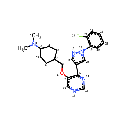 CN(C)C1CCC(COc2cncnc2-c2cnn(-c3ccccc3F)c2)CC1